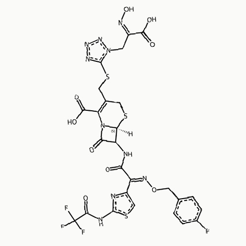 O=C(O)C(Cn1nnnc1SCC1=C(C(=O)O)N2C(=O)C(NC(=O)C(=NOCc3ccc(F)cc3)c3csc(NC(=O)C(F)(F)F)n3)[C@@H]2SC1)=NO